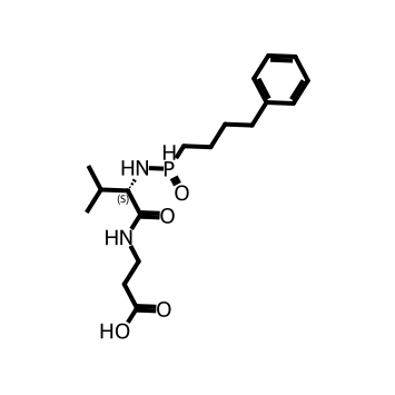 CC(C)[C@H](N[PH](=O)CCCCc1ccccc1)C(=O)NCCC(=O)O